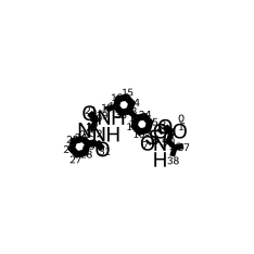 COC(=O)[C@@H](NS(=O)(=O)c1ccc(-c2cccc(CNC(=O)c3nc4ccccc4c(=O)[nH]3)c2)cc1)C(C)C